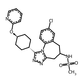 CS(=O)(=O)NC1Cc2cc(Cl)ccc2-n2c(nnc2[C@H]2CC[C@H](Oc3ccccn3)CC2)C1